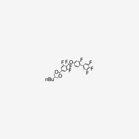 CCCCC1COC(c2cc(F)c(C(F)(F)Oc3ccc(-c4cc(F)c(F)c(F)c4)c(F)c3)c(F)c2)OC1